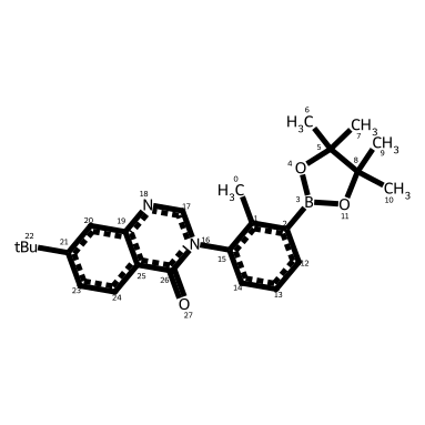 Cc1c(B2OC(C)(C)C(C)(C)O2)cccc1-n1cnc2cc(C(C)(C)C)ccc2c1=O